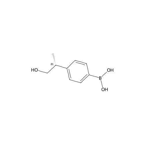 C[C@@H](CO)c1ccc(B(O)O)cc1